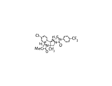 COC(=O)N(C)C1(C)CN(C(=O)N(C)c2ccc(C(F)(F)F)cc2)N=C1c1ccc(Cl)cc1